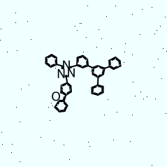 c1ccc(-c2cc(-c3ccccc3)cc(-c3cccc(-c4nc(-c5ccccc5)nc(-c5ccc6c(c5)oc5ccccc56)n4)c3)c2)cc1